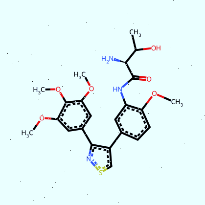 COc1ccc(-c2csnc2-c2cc(OC)c(OC)c(OC)c2)cc1NC(=O)[C@@H](N)C(C)O